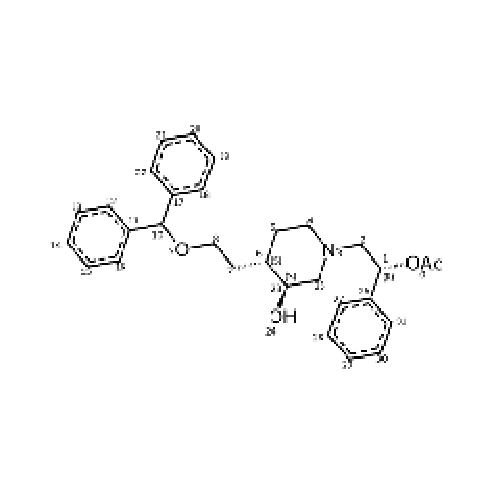 CC(=O)O[C@@H](CN1CC[C@@H](CCOC(c2ccccc2)c2ccccc2)[C@H](O)C1)c1ccccc1